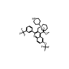 COC(=O)c1c(C[N+]2(C3CCNCC3)CCCCC2)c(-c2cccc(C(F)(F)F)c2)nc2ccc(OC(F)(F)F)cc12